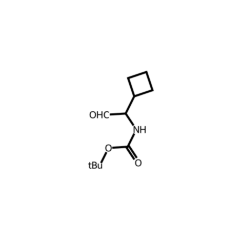 CC(C)(C)OC(=O)NC(C=O)C1CCC1